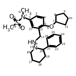 CN(c1ccc(OC2CCCC2)c(CNN2CCCCC2c2ccccc2)c1)S(C)(=O)=O